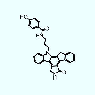 O=C(NCCCn1c2ccccc2c2c3c(c4c(c21)Cc1ccccc1-4)C(=O)NC3)c1ccc(O)cc1